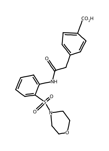 O=C(Cc1ccc(C(=O)O)cc1)Nc1ccccc1S(=O)(=O)N1CCOCC1